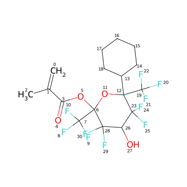 C=C(C)C(=O)OC1(C(F)(F)F)OC(C2CCCCC2)(C(F)(F)F)C(F)(F)C(O)C1(F)F